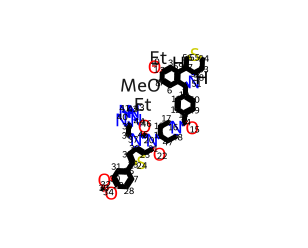 CCOc1cc2c(cc1OC)C(c1ccc(C(=O)N3CCC(n4c(=O)c5sc(-c6ccc7c(c6)OCO7)cc5n(Cc5nnn(CC)n5)c4=O)CC3)cc1)=N[C@@H]1CCSC[C@H]21